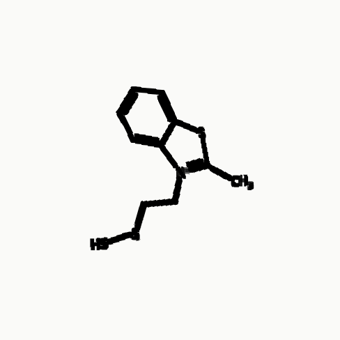 Cc1sc2ccccc2[n+]1CCSS